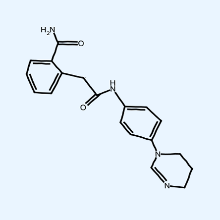 NC(=O)c1ccccc1[CH]C(=O)Nc1ccc(N2C=NCCC2)cc1